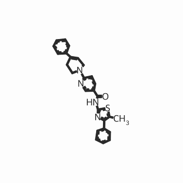 Cc1sc(NC(=O)c2ccc(N3CC=C(c4ccccc4)CC3)nc2)nc1-c1ccccc1